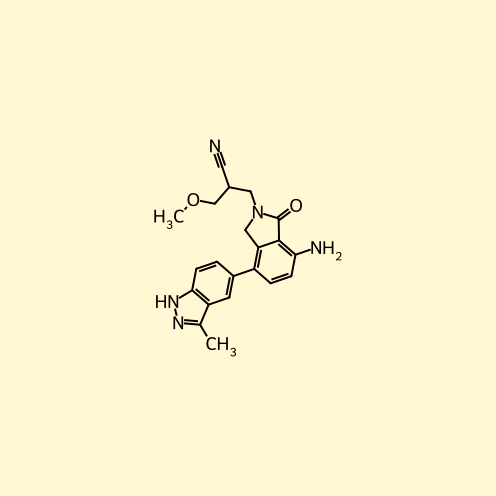 COCC(C#N)CN1Cc2c(-c3ccc4[nH]nc(C)c4c3)ccc(N)c2C1=O